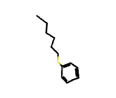 CCCCCCSc1ccccc1